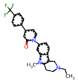 CCN1CCc2c(c3ccc(-n4ccc(-c5ccc(C(F)(F)F)cc5)cc4=O)cc3n2C)C1